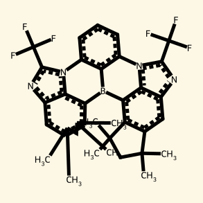 CC1(C)CC(C)(C)c2c1cc1nc(C(F)(F)F)n3c1c2B1c2c-3cccc2-n2c(C(F)(F)F)nc3cc4c(c1c32)C(C)(C)CC4(C)C